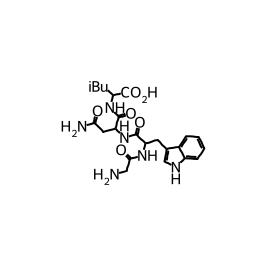 CCC(C)C(NC(=O)C(CC(N)=O)NC(=O)C(Cc1c[nH]c2ccccc12)NC(=O)CN)C(=O)O